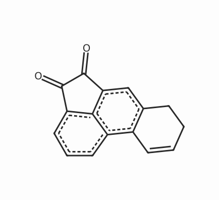 O=C1C(=O)c2cc3c(c4cccc1c24)C=CCC3